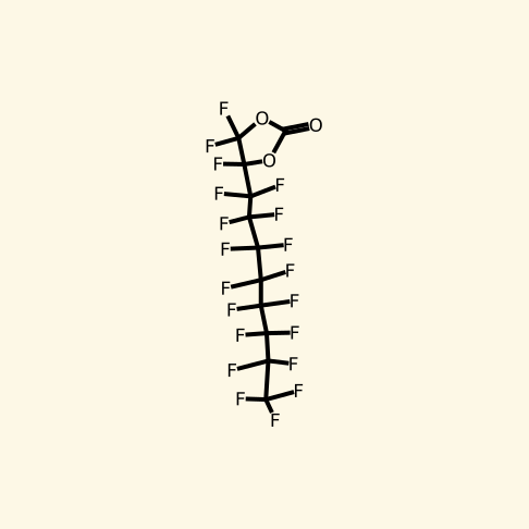 O=C1OC(F)(F)C(F)(C(F)(F)C(F)(F)C(F)(F)C(F)(F)C(F)(F)C(F)(F)C(F)(F)C(F)(F)F)O1